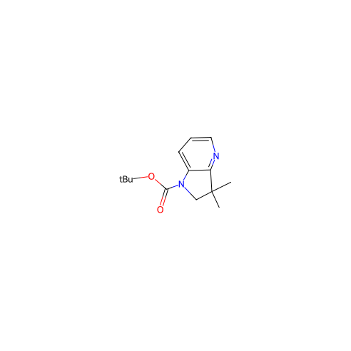 CC(C)(C)OC(=O)N1CC(C)(C)c2ncccc21